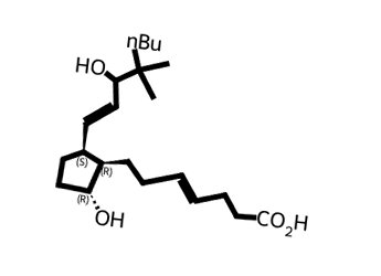 CCCCC(C)(C)C(O)C=C[C@@H]1CC[C@@H](O)[C@@H]1CCC=CCCC(=O)O